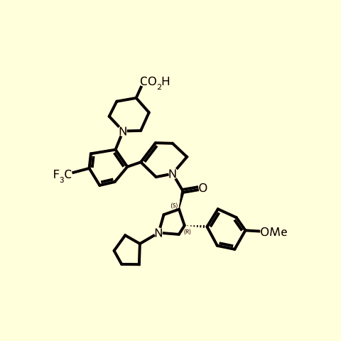 COc1ccc([C@@H]2CN(C3CCCC3)C[C@H]2C(=O)N2CCC=C(c3ccc(C(F)(F)F)cc3N3CCC(C(=O)O)CC3)C2)cc1